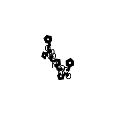 O=C(OCc1ccccc1)C1CCCN1C(=O)Cc1cccc(CC(=O)N2CCCC2C(=O)OCc2ccccc2)n1